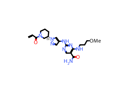 C=CC(=O)N1CCC[C@H](n2cc(Nc3ncc(C(N)=O)c(NCCCOC)n3)cn2)C1